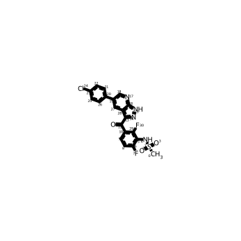 CS(=O)(=O)Nc1c(F)ccc(C(=O)c2n[nH]c3ncc(-c4ccc(Cl)cc4)cc23)c1F